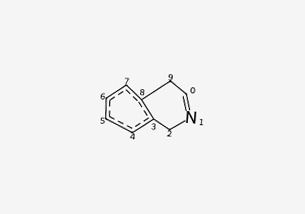 C1=NCc2ccccc2C1